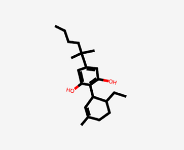 CCCCC(C)(C)c1cc(O)c(C2C=C(C)CCC2CC)c(O)c1